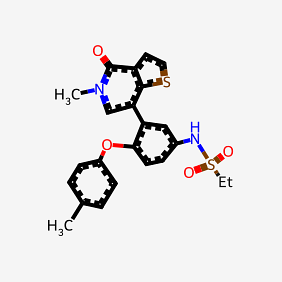 CCS(=O)(=O)Nc1ccc(Oc2ccc(C)cc2)c(-c2cn(C)c(=O)c3ccsc23)c1